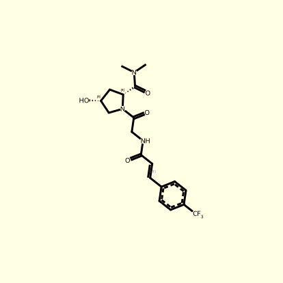 CN(C)C(=O)[C@H]1C[C@@H](O)CN1C(=O)CNC(=O)/C=C/c1ccc(C(F)(F)F)cc1